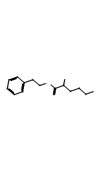 O=C(OCCc1ccccc1)C(I)CCCI